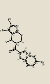 CC1c2c(sc(F)c2F)CCN1C(=O)c1cc2ccc(Br)cn2n1